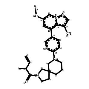 C=CC(C)C(=O)N1CCC2(CCCN(c3ccc(-c4cc(OCC)cn5ncc(C#N)c45)cn3)C2)C1